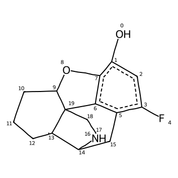 Oc1cc(F)c2c3c1OC1CCC[C]4C(C2)NCCC431